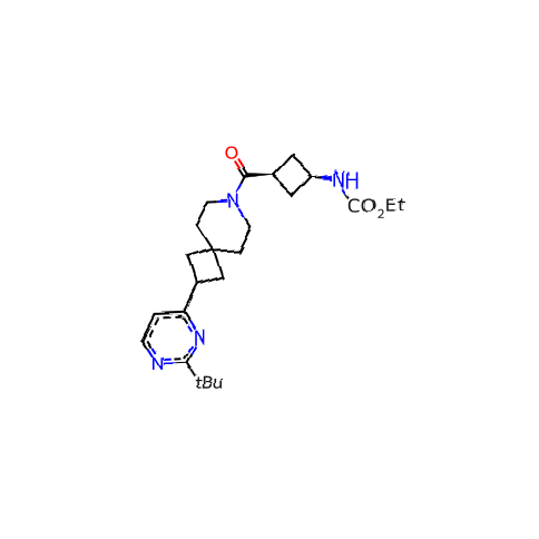 CCOC(=O)N[C@H]1C[C@@H](C(=O)N2CCC3(CC2)CC(c2ccnc(C(C)(C)C)n2)C3)C1